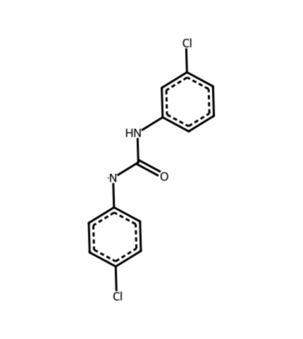 O=C([N]c1ccc(Cl)cc1)Nc1cccc(Cl)c1